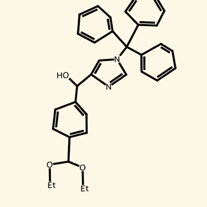 CCOC(OCC)c1ccc(C(O)c2cn(C(c3ccccc3)(c3ccccc3)c3ccccc3)cn2)cc1